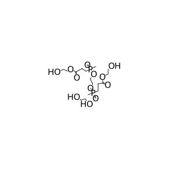 CP(=O)(CCC(=O)OCCO)OCCOP(C)(=O)CCC(=O)OCCO.OCCO